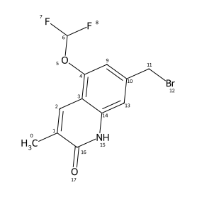 Cc1cc2c(OC(F)F)cc(CBr)cc2[nH]c1=O